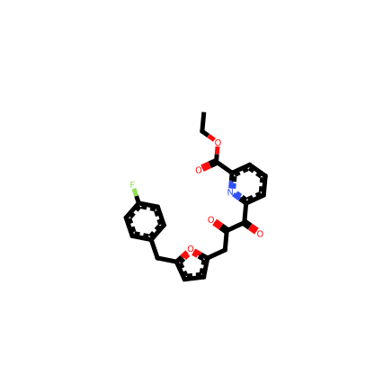 CCOC(=O)c1cccc(C(=O)C(=O)Cc2ccc(Cc3ccc(F)cc3)o2)n1